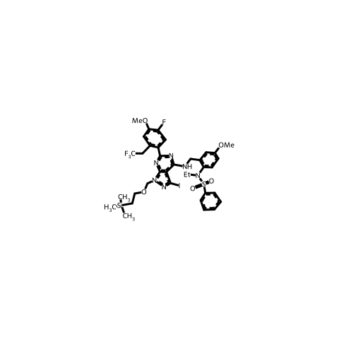 CCN(c1ccc(OC)cc1CNc1nc(-c2cc(F)c(OC)cc2CC(F)(F)F)nc2c1c(I)nn2COCC[Si](C)(C)C)S(=O)(=O)c1ccccc1